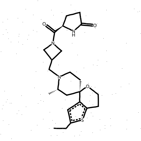 CCc1cc2c(s1)CCO[C@@]21CCN(CC2CN(C(=O)[C@H]3CCC(=O)N3)C2)[C@@H](C)C1